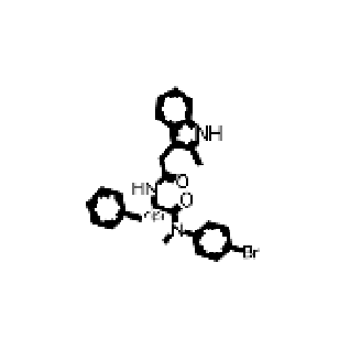 Cc1[nH]c2ccccc2c1CC(=O)N[C@@H](Cc1ccccc1)C(=O)N(C)c1ccc(Br)cc1